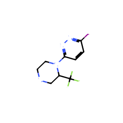 FC(F)(F)C1CNCCN1c1ccc(I)nn1